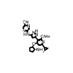 COc1nc(C2CC2)cc(O[C@@H]2CCC[C@H]2N)c1-c1cc(Nc2cnc(C#N)cn2)n[nH]1